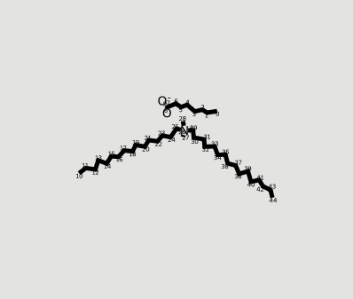 CCCCCCCC(=O)[O-].CCCCCCCCCCCCCCCC[N+](C)(C)CCCCCCCCCCCCCCCC